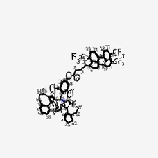 O=C(CCCc1ccc2c3ccc(C(F)(F)F)c4c(C(F)(F)F)ccc(c5ccc(C(F)(F)F)c1c25)c43)Oc1cc(Cl)c(/C(=C2\C=C3CCCc4ccccc4C3=N2)c2cc3c(n2B(F)F)-c2ccccc2CCC3)c(Cl)c1